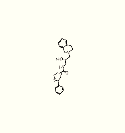 O=C(NC[C@H](O)CN1CCc2ccccc2C1)N1CCS[C@H](c2ccccc2)C1